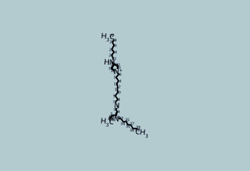 C\C=C/C(=C\C=N\CCCCCCCCCC[n+]1ccc(NCCCCCCCC)cc1)NCCCCCCCC